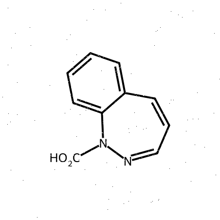 O=C(O)N1N=CC=Cc2ccccc21